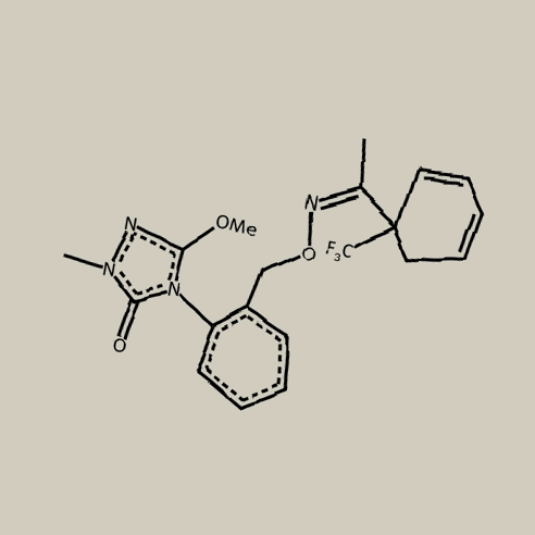 COc1nn(C)c(=O)n1-c1ccccc1CO/N=C(/C)C1(C(F)(F)F)C=CC=CC1